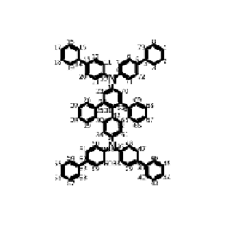 C1=CCCC(c2ccc(N(c3ccc(C4C=CC=CC4)cc3)c3cc(-c4ccccc4)c(C4C=CC(N(C5=CC=C(c6ccccc6)CC5)C5C=CC(c6ccccc6)=CC5)=CC4)c(-c4ccccc4)c3)cc2)=C1